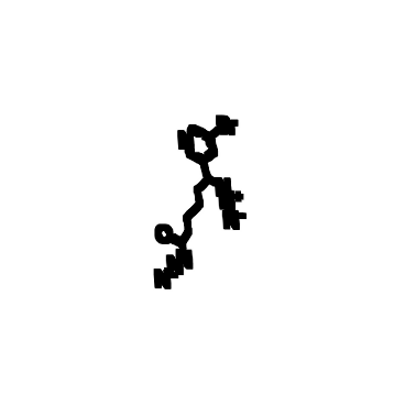 [N-]=[N+]=NC(=O)CCCCC(N=[N+]=[N-])c1cncc(Br)c1